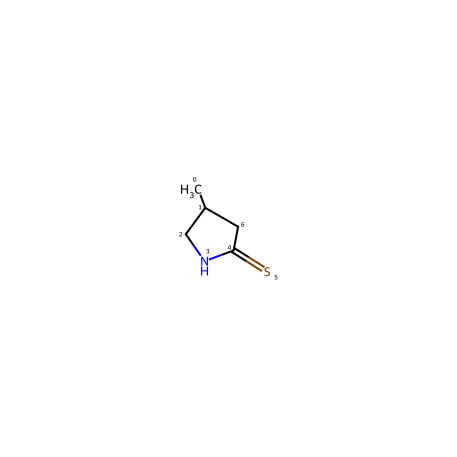 CC1CNC(=S)C1